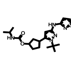 CC(C)NC(=O)OC1CCC(c2cc(Nc3ccsn3)nn2C(C)(C)C)C1